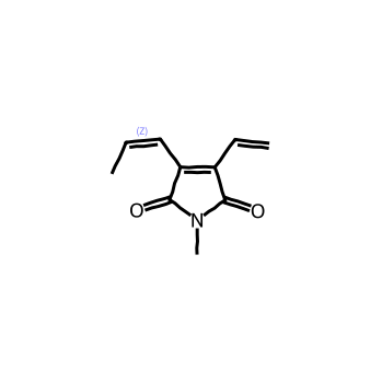 C=CC1=C(/C=C\C)C(=O)N(C)C1=O